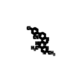 Cc1ncc([C@@H](C)Nc2ncnc3c2CN(c2ccc(Cl)cc2C#N)CC3)cn1